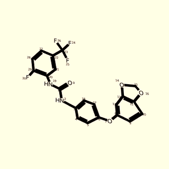 O=C(Nc1ccc(Oc2ccc3c(c2)OCO3)cc1)Nc1cc(C(F)(F)F)ccc1F